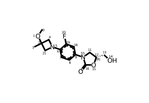 COC1(C)CN(c2ccc(N3C[C@H](CO)OC3=O)cc2F)C1